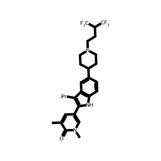 Cc1cc(-c2[nH]c3ccc(C4CCN(CCC(C(F)(F)F)C(F)(F)F)CC4)cc3c2C(C)C)cn(C)c1=O